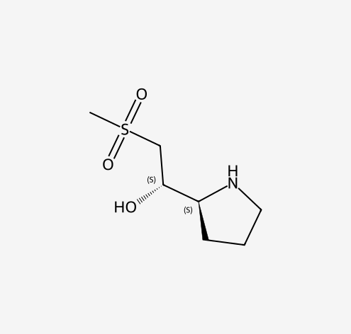 CS(=O)(=O)C[C@@H](O)[C@@H]1CCCN1